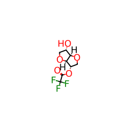 O=C(O[C@H]1CO[C@H]2[C@@H]1OC[C@@H]2O)C(F)(F)F